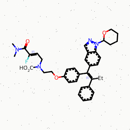 CC/C(=C(/c1ccc(OCCN(C/C=C(\F)C(=O)N(C)C)C(=O)O)cc1)c1ccc2c(cnn2C2CCCCO2)c1)c1ccccc1